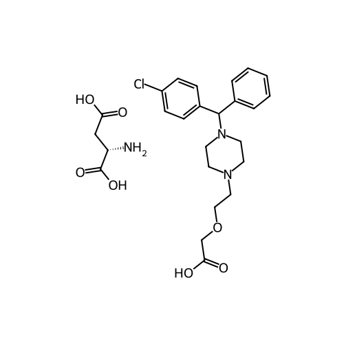 N[C@@H](CC(=O)O)C(=O)O.O=C(O)COCCN1CCN(C(c2ccccc2)c2ccc(Cl)cc2)CC1